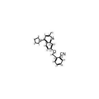 Cc1cc(N2CCCC2)c2ccc(OCc3ccccc3C#N)cc2n1